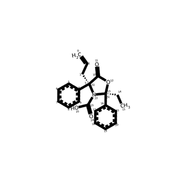 C=CC[C@]1(c2ccccc2)C(=O)O[C@@](CC)(c2ccccc2)N1C(=O)O